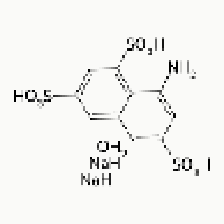 Nc1cc(S(=O)(=O)O)cc2cc(S(=O)(=O)O)cc(S(=O)(=O)O)c12.O.[NaH].[NaH]